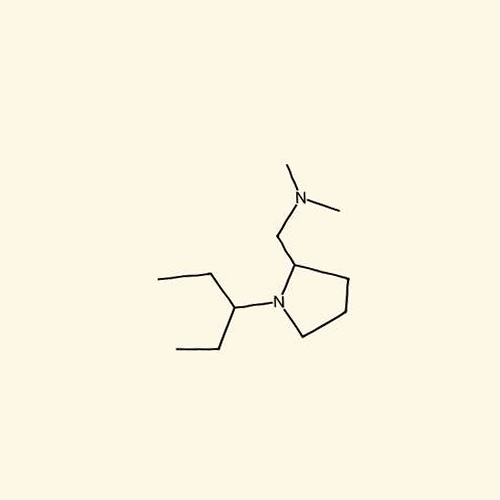 CCC(CC)N1CCCC1CN(C)C